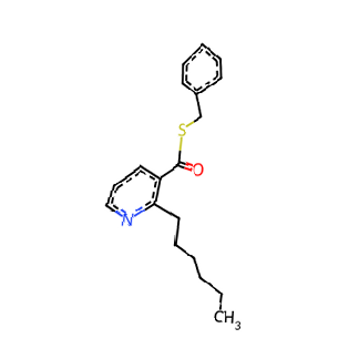 CCCCCCc1ncccc1C(=O)SCc1ccccc1